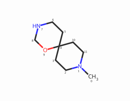 CN1CCC2(CCNCO2)CC1